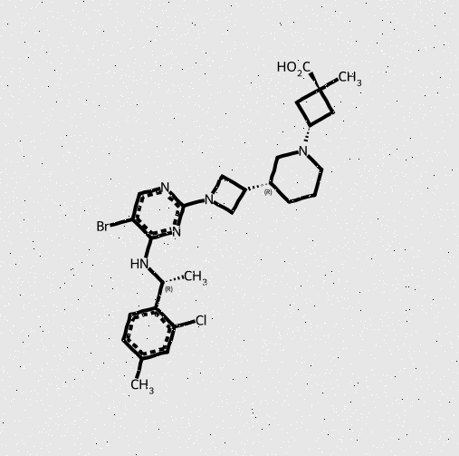 Cc1ccc([C@@H](C)Nc2nc(N3CC([C@H]4CCCN([C@H]5C[C@](C)(C(=O)O)C5)C4)C3)ncc2Br)c(Cl)c1